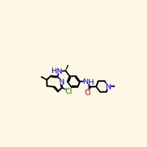 CC1\C=C(N[C@@H](C)c2cccc(NC(=O)C3CCN(C)CC3)c2)/N=C(Cl)\C=C\C1